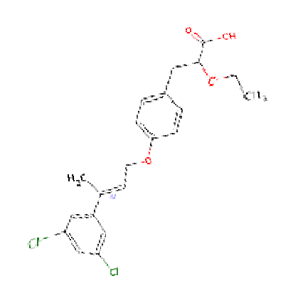 CCOC(Cc1ccc(OC/C=C(\C)c2cc(Cl)cc(Cl)c2)cc1)C(=O)O